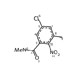 CNC(=O)c1cc(Cl)cc(C)c1[N+](=O)[O-]